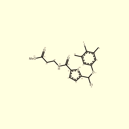 CCC(Oc1cc(C)c(I)c(C)c1)c1ccc(C(=O)NCCC(=O)OC)s1